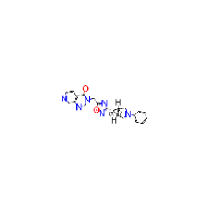 O=c1c2ccncc2ncn1Cc1nc([C@@H]2[C@@H]3CN(c4ccccc4)C[C@@H]32)no1